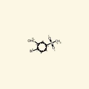 CS(=O)(=O)c1ccc(Br)c(C=O)c1